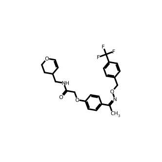 CC(=NOCc1ccc(C(F)(F)F)cc1)c1ccc(OCC(=O)NCC2C=COCC2)cc1